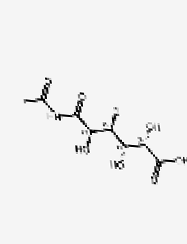 CC(=O)NC(=O)[C@H](O)[C@@H](O)[C@@H](O)[C@H](O)C(=O)O